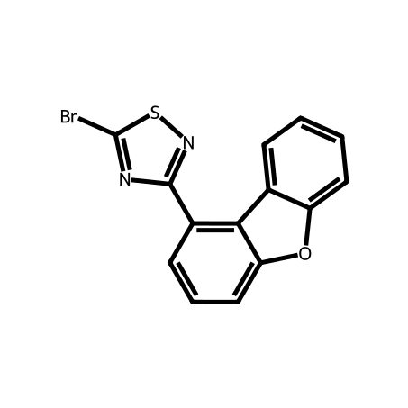 Brc1nc(-c2cccc3oc4ccccc4c23)ns1